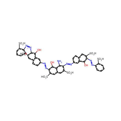 Nc1c(N=Nc2ccc3cc(S(=O)(=O)O)c(N=Nc4ccccc4S(=O)(=O)O)c(O)c3c2)c(S(=O)(=O)O)cc2cc(S(=O)(=O)O)c(N=Nc3ccc4cc(S(=O)(=O)O)c(/N=N\c5ccccc5S(=O)(=O)O)c(O)c4c3)c(O)c12